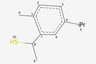 Cc1ccc(C(C)C)cc1C(C)S